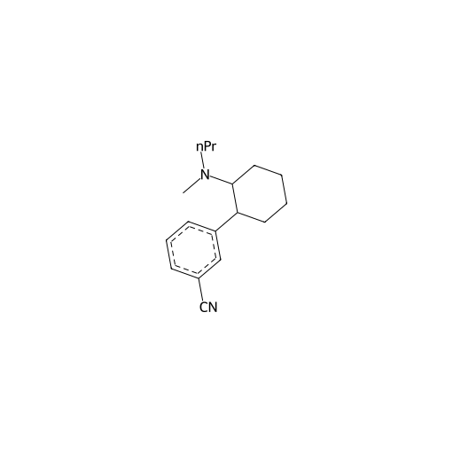 CCCN(C)C1CCCCC1c1cccc(C#N)c1